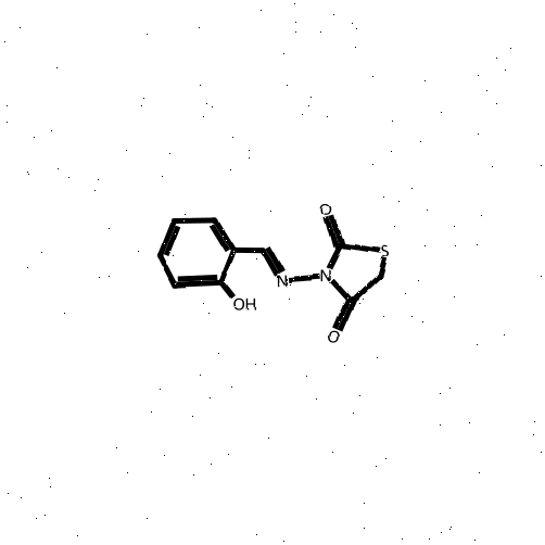 O=C1CSC(=O)N1N=Cc1ccccc1O